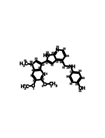 COc1cc2c(nc1OC)c(-c1cc3c(CNc4ccc(O)cc4)ccnc3[nH]1)cn2C